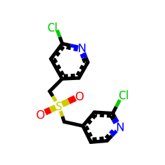 O=S(=O)(Cc1ccnc(Cl)c1)Cc1ccnc(Cl)c1